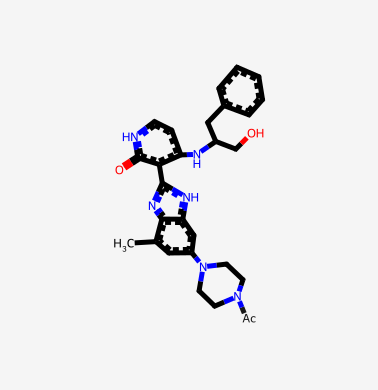 CC(=O)N1CCN(c2cc(C)c3nc(-c4c(NC(CO)Cc5ccccc5)cc[nH]c4=O)[nH]c3c2)CC1